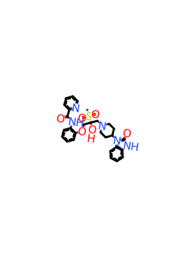 CS(=O)(=O)C(O)(COc1ccccc1NC(=O)c1ccccn1)CN1CCC(n2c(=O)[nH]c3ccccc32)CC1